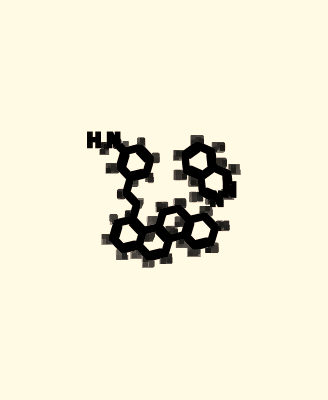 Nc1cccc(CCc2cccc3ccc4c(c23)CCC2=C4C=CCC2)c1.c1ccc2cnncc2c1